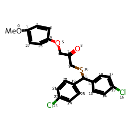 COc1ccc(OCC(=O)CSC(c2ccc(Cl)cc2)c2ccc(Cl)cc2)cc1